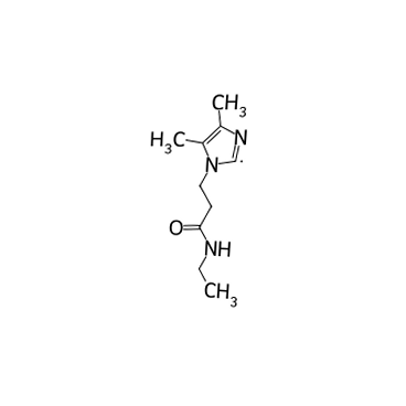 CCNC(=O)CCn1[c]nc(C)c1C